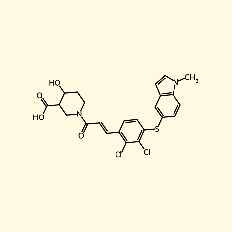 Cn1ccc2cc(Sc3ccc(C=CC(=O)N4CCC(O)C(C(=O)O)C4)c(Cl)c3Cl)ccc21